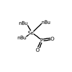 CCCC[Se](CCCC)(CCCC)P(=O)=O